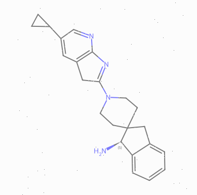 N[C@@H]1c2ccccc2CC12CCN(C1=Nc3ncc(C4CC4)cc3C1)CC2